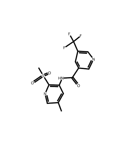 Cc1cnc(S(C)(=O)=O)c(NC(=O)c2cncc(C(F)(F)F)c2)c1